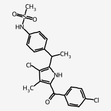 Cc1c(C(=O)c2ccc(Cl)cc2)[nH]c(C(C)c2ccc(NS(C)(=O)=O)cc2)c1Cl